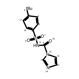 CC(C)(C)c1ccc(S(=O)(=O)NC(=O)n2ccnc2)cc1